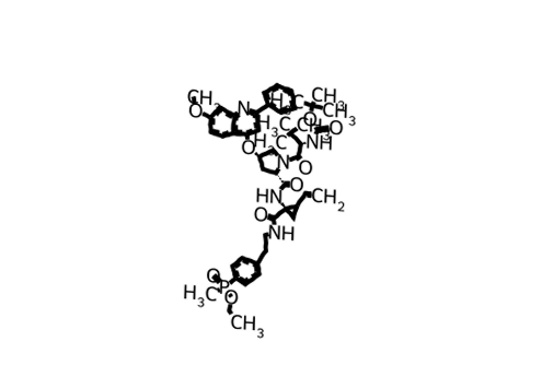 C=CC1C[C@]1(NC(=O)[C@@H]1C[C@@H](Oc2cc(-c3ccccc3)nc3cc(OC)ccc23)CN1C(=O)[C@@H](NC(=O)OC(C)(C)C)C(C)(C)C)C(=O)NCCc1ccc(P(C)(=O)OCC)cc1